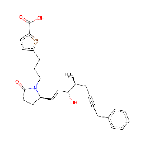 C[C@@H](CC#CCc1ccccc1)[C@H](O)C=C[C@H]1CCC(=O)N1CCCc1ccc(C(=O)O)s1